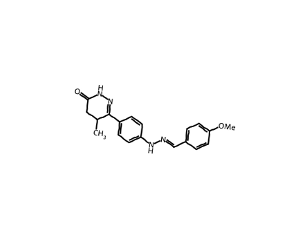 COc1ccc(C=NNc2ccc(C3=NNC(=O)CC3C)cc2)cc1